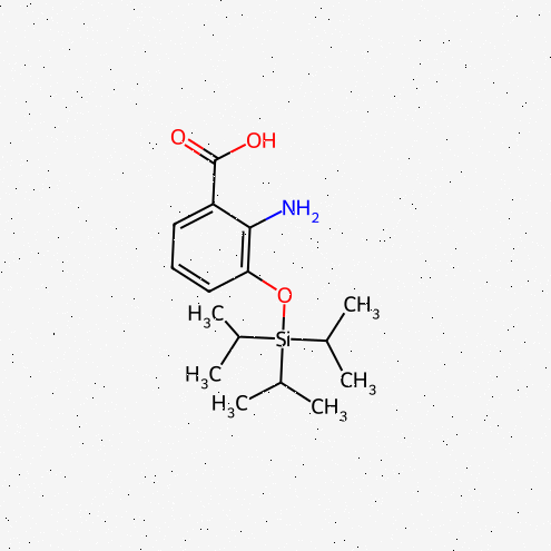 CC(C)[Si](Oc1cccc(C(=O)O)c1N)(C(C)C)C(C)C